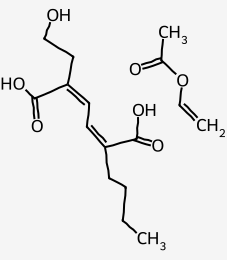 C=COC(C)=O.CCCCC(=CC=C(CCO)C(=O)O)C(=O)O